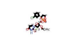 CC(=O)OCO[C@@H]1[C@@H](COP2(=O)OCC[C@@H](c3cccc(Cl)c3)O2)O[C@@H](n2ccc(=O)[nH]c2=O)[C@]1(C)F